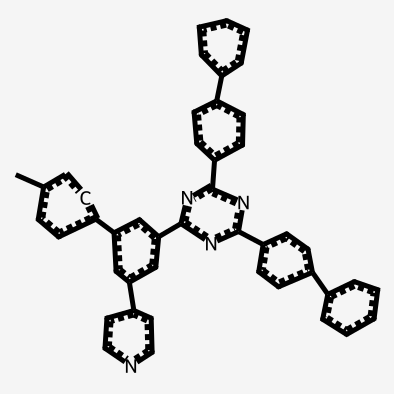 Cc1ccc(-c2cc(-c3ccncc3)cc(-c3nc(-c4ccc(-c5ccccc5)cc4)nc(-c4ccc(-c5ccccc5)cc4)n3)c2)cc1